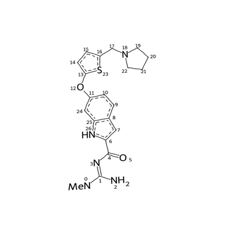 CNC(N)=NC(=O)c1cc2ccc(Oc3ccc(CN4CCCC4)s3)cc2[nH]1